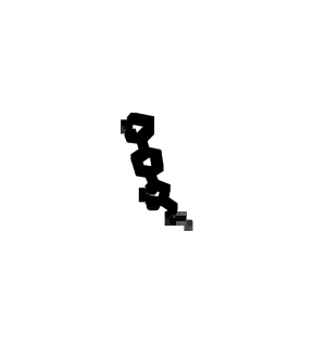 NCC1CC(c2ccc(-c3cccnc3)cc2)=NO1